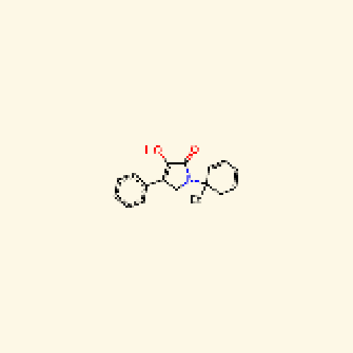 CCC1(N2CC(c3ccccc3)=C(O)C2=O)C=CC=CC1